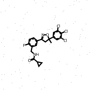 CC1(c2cc(Cl)c(Cl)c(Cl)c2)CC(c2ccc(F)c(CNC(=O)C3CC3)c2)=NO1